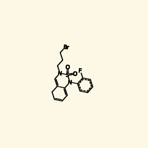 O=S1(=O)N(CCCBr)C=C2CC=CC=C2N1c1ccccc1F